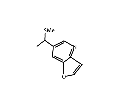 CSC(C)c1cnc2ccoc2c1